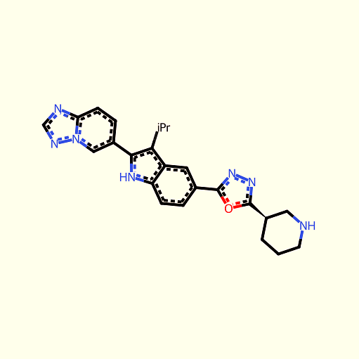 CC(C)c1c(-c2ccc3ncnn3c2)[nH]c2ccc(-c3nnc([C@@H]4CCCNC4)o3)cc12